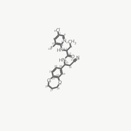 CCC(Nc1ncc(Cl)cc1F)C(=O)NC(CC#N)c1ccc2c(c1)OCCCO2